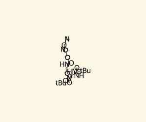 CN(C)CCOc1ccc(-c2ccc(C(=O)NCCc3ccc4c(c3)c(C(=N)NC(=O)OC(C)(C)C)cn4C(=O)OC(C)(C)C)cc2)cn1